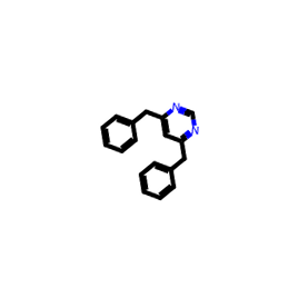 c1ccc(Cc2cc(Cc3ccccc3)ncn2)cc1